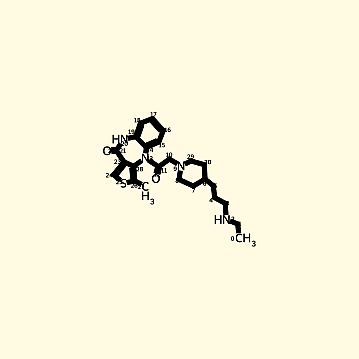 CCNCCCC1CCN(CC(=O)N2c3ccccc3NC(=O)c3csc(C)c32)CC1